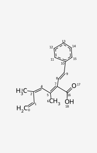 C=CC(C)=CC(C)=C(C=Cc1ccccc1)C(=O)O